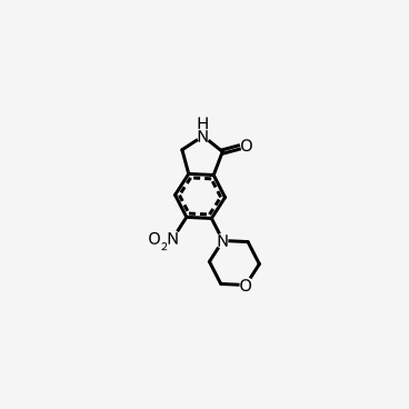 O=C1NCc2cc([N+](=O)[O-])c(N3CCOCC3)cc21